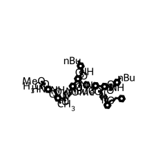 CCCCc1ccc(NS(=O)(=O)c2ccc(-c3ccc(N4CCN(C(=O)c5cc(S(=O)(=O)Nc6ccc(CCCC)cc6)ccc5-c5ccc(N6CCN(C(=O)c7cc(S(=O)(=O)Nc8ccc(NC(C)C(=O)OC)cc8)ccc7C)CC6)c(OC)c5)CC4)c(OCC(C)C)c3)c(C(=O)N3CCN(c4ccccc4OCCc4ccccc4)CC3)c2)cc1